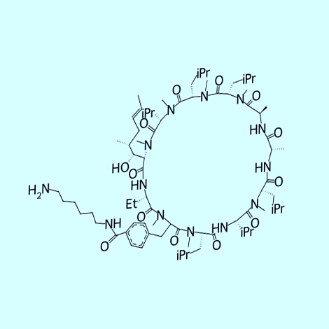 CC=CC[C@@H](C)[C@@H](O)[C@H]1C(=O)N[C@@H](CC)C(=O)N(C)C(Cc2ccc(C(=O)NCCCCCCN)cc2)C(=O)N(C)[C@@H](CC(C)C)C(=O)N[C@@H](C(C)C)C(=O)N(C)[C@@H](CC(C)C)C(=O)N[C@@H](C)C(=O)N[C@H](C)C(=O)N(C)[C@@H](CC(C)C)C(=O)N(C)[C@@H](CC(C)C)C(=O)N(C)[C@@H](C(C)C)C(=O)N1C